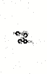 Cc1ccc(-c2ccccn2)c(C(=O)N2CCC[C@@H](C)[C@H]2CNc2ccc(F)cn2)c1